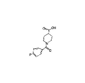 O=C(O)C1CCN(C(=O)c2ccc(F)cc2)CC1